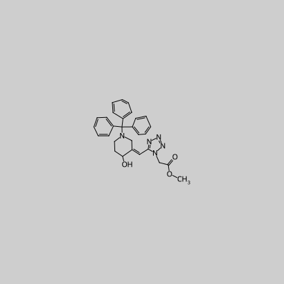 COC(=O)Cn1nnnc1/C=C1\CN(C(c2ccccc2)(c2ccccc2)c2ccccc2)CCC1O